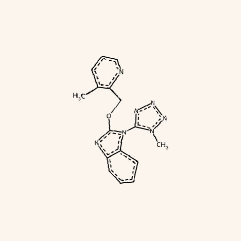 Cc1cccnc1COc1nc2ccccc2n1-c1nnnn1C